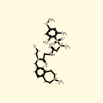 COc1cc(C)c(S(=O)(=O)N(C)CC(=O)NCC(=O)N(CCF)Cc2ccc3c(c2)CCN(C)CC3)c(C)c1